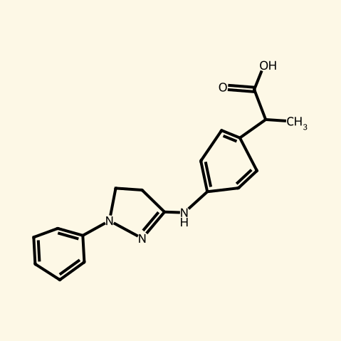 CC(C(=O)O)c1ccc(NC2=NN(c3ccccc3)CC2)cc1